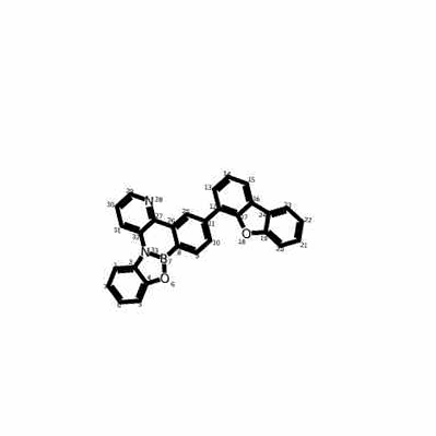 c1ccc2c(c1)OB1c3ccc(-c4cccc5c4oc4ccccc45)cc3-c3ncccc3N12